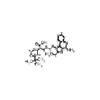 CCc1nc2c(N)nc3ccccc3c2n1CCCCN(C(=O)O)C1CCOC(C(C)(C)C)C1